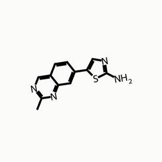 Cc1ncc2ccc(-c3cnc(N)s3)cc2n1